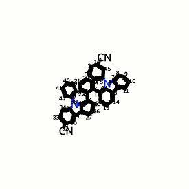 N#Cc1cccc(-n2c3ccccc3c3cccc(-c4ccccc4-c4cccc5c6cc(C#N)ccc6n(-c6ccccc6)c45)c32)c1